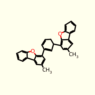 Cc1cc(C2=CC(c3cc(C)cc4c3oc3ccccc34)CC=C2)c2oc3ccccc3c2c1